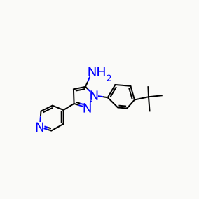 CC(C)(C)c1ccc(-n2nc(-c3ccncc3)cc2N)cc1